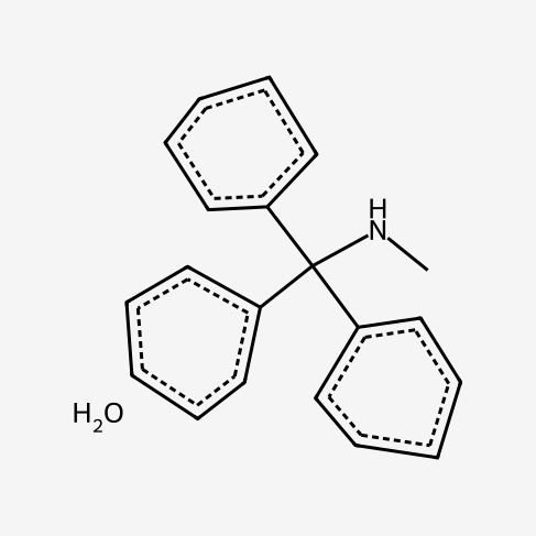 CNC(c1ccccc1)(c1ccccc1)c1ccccc1.O